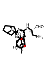 NC[C@@H](C=O)Nc1cc(C(N)=O)nc(N2C3CCC2CC(Oc2ccc(F)cc2)C3)n1